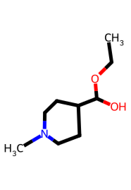 CCOC(O)C1CCN(C)CC1